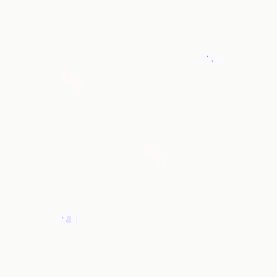 Nc1ccc2c(c1)C(=O)c1cc(N)ccc1C2=O